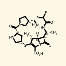 C[C@@H](NC(=O)C(F)F)[C@H]1C(=O)N2C(C(=O)O)=C(S[C@@H]3CN[C@H](C(=O)N4CC[C@H](CN)C4)C3)[C@H](C)[C@H]12